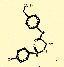 CCCC[C@@H](NS(=O)(=O)c1ccc(Cl)cc1)C(=O)Nc1ccc(CC(=O)OCC)cc1